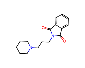 O=C1c2ccccc2C(=O)N1CCCN1CCCCC1